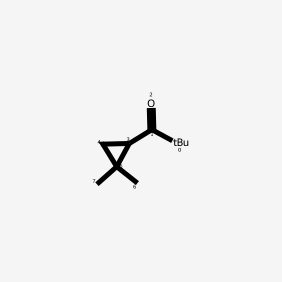 CC(C)(C)C(=O)C1CC1(C)C